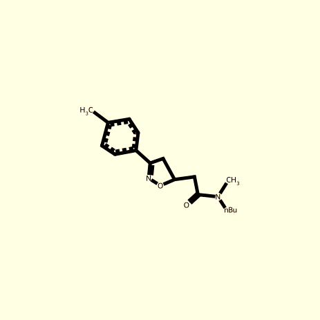 CCCCN(C)C(=O)CC1CC(c2ccc(C)cc2)=NO1